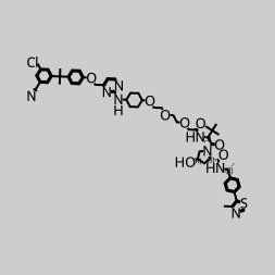 Cc1ncsc1-c1ccc([C@@H](C)NC(=O)[C@@H]2C[C@@H](O)CN2C(=O)[C@@H](NC(=O)COCCOCCOC2CCC(Nc3nccc(COc4ccc(C(C)(C)c5cc(Cl)cc(C#N)c5)cc4)n3)CC2)C(C)(C)C)cc1